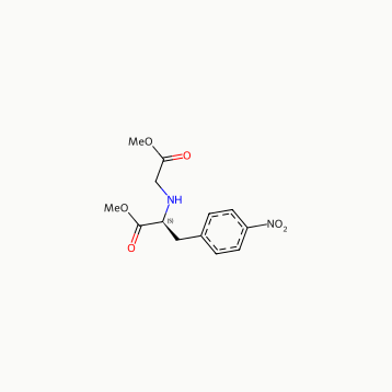 COC(=O)CN[C@@H](Cc1ccc([N+](=O)[O-])cc1)C(=O)OC